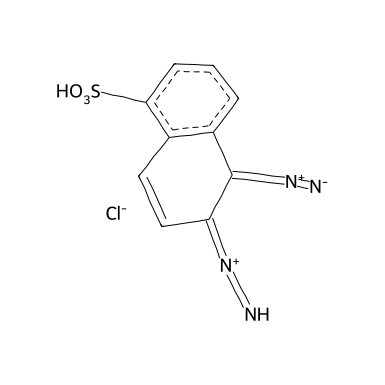 [Cl-].[N-]=[N+]=C1C(=[N+]=N)C=Cc2c1cccc2S(=O)(=O)O